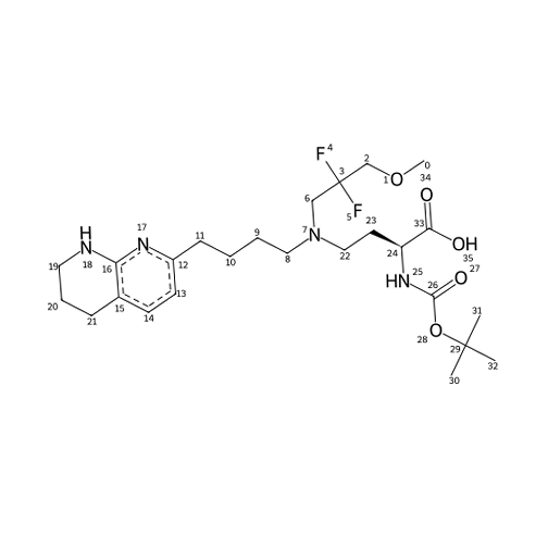 COCC(F)(F)CN(CCCCc1ccc2c(n1)NCCC2)CC[C@H](NC(=O)OC(C)(C)C)C(=O)O